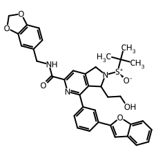 CC(C)(C)[S@@+]([O-])N1Cc2cc(C(=O)NCc3ccc4c(c3)OCO4)nc(-c3cccc(-c4cc5ccccc5o4)c3)c2C1CCO